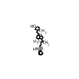 C=C1CC[C@H](O)C/C1=C/C=C1\CCC[C@]2(C)C(C(C)CCCS(=N)(=O)c3ccccc3)CC[C@@H]12